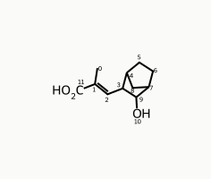 CC(=CC1C2CCC(C2)C1O)C(=O)O